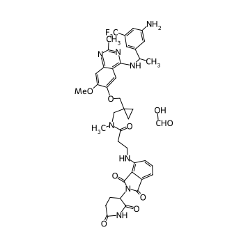 COc1cc2nc(C)nc(NC(C)c3cc(N)cc(C(F)(F)F)c3)c2cc1OCC1(CN(C)C(=O)CCNc2cccc3c2C(=O)N(C2CCC(=O)NC2=O)C3=O)CC1.O=CO